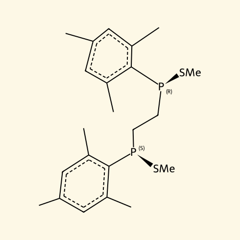 CS[P@@](CC[P@@](SC)c1c(C)cc(C)cc1C)c1c(C)cc(C)cc1C